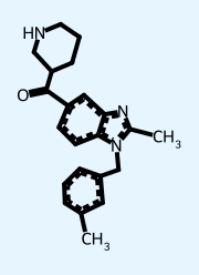 Cc1cccc(Cn2c(C)nc3cc(C(=O)C4CCCNC4)ccc32)c1